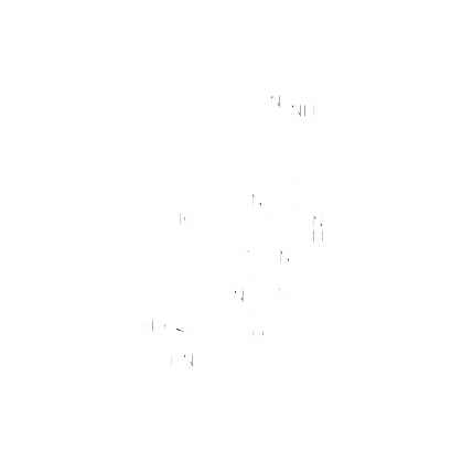 C[C@H]1C[C@H](Oc2nc3sc(-c4ncc(-c5cn[nH]c5)c5cc[nH]c45)nc3s2)CCN1.Cl